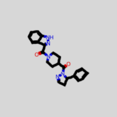 O=C(c1n[nH]c2ccccc12)N1CCC(C(=O)N2N=CCC2c2ccccc2)CC1